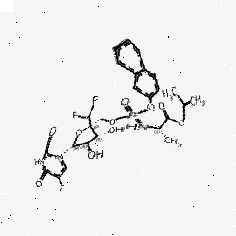 CC(C)OC(=O)[C@H](C)NP(=O)(OC[C@@]1(C(F)F)O[C@@H](n2cc(F)c(=O)[nH]c2=O)[C@H](O)[C@H]1O)Oc1ccc2ccccc2c1